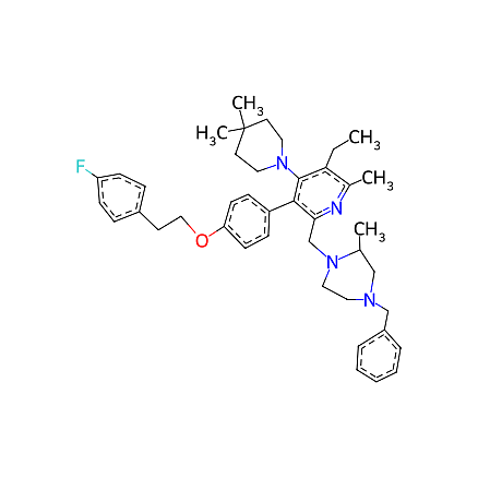 CCc1c(C)nc(CN2CCN(Cc3ccccc3)CC2C)c(-c2ccc(OCCc3ccc(F)cc3)cc2)c1N1CCC(C)(C)CC1